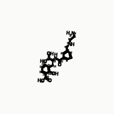 NCCNCc1cccc(C(=O)N[C@@H](Cc2cccc(C(=O)O)c2O)B(O)O)c1